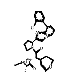 CN[C@@H](C)C(=O)N[C@H](C(=O)N1CCC[C@H]1c1cn2cccc(-c3ccccc3Cl)c2n1)C1CCOCC1